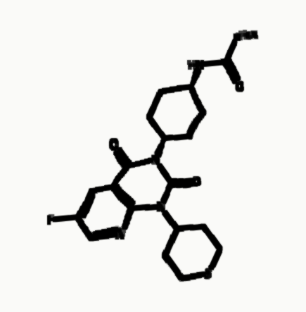 CCCCCCC(=O)N[C@H]1CC[C@@H](n2c(=O)c3cc(F)cnc3n(C3CCSCC3)c2=O)CC1